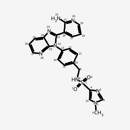 Cn1cnc(S(=O)(=O)NCc2ccc(-n3c(-c4cccnc4N)nc4cccnc43)cc2)c1